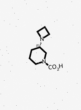 O=C(O)N1CCC[C@H](N2CCC2)C1